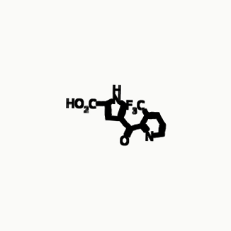 O=C(O)c1cc(C(=O)c2ncccc2C(F)(F)F)c[nH]1